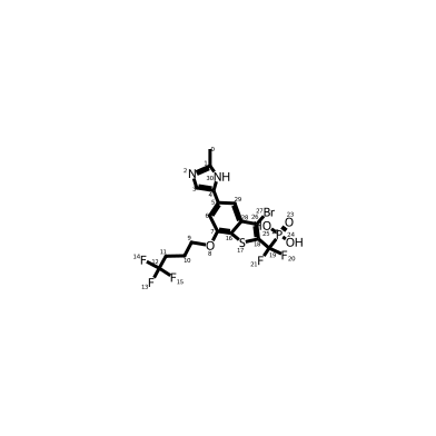 Cc1ncc(-c2cc(OCCCC(F)(F)F)c3sc(C(F)(F)P(=O)(O)O)c(Br)c3c2)[nH]1